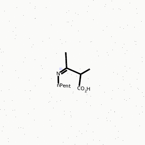 CCCCC/N=C(/C)C(C)C(=O)O